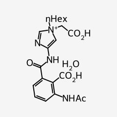 CCCCCC[N+]1(CC(=O)O)C=NC(NC(=O)c2cccc(NC(C)=O)c2C(=O)O)=C1.O